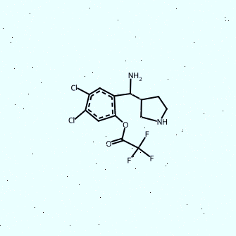 NC(c1cc(Cl)c(Cl)cc1OC(=O)C(F)(F)F)C1CCNC1